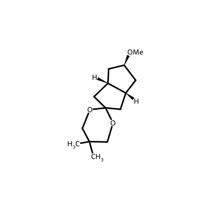 CO[C@H]1C[C@@H]2CC3(C[C@@H]2C1)OCC(C)(C)CO3